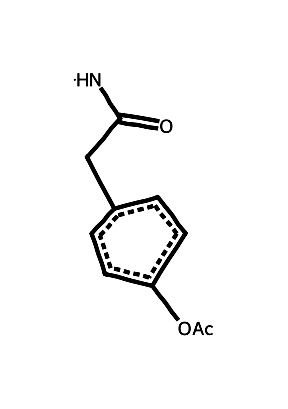 CC(=O)Oc1ccc(CC([NH])=O)cc1